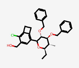 CC[C@H]1OC(c2cc(CO)c(Cl)c3c2CC3)[C@H](OCc2ccccc2)[C@@H](OCc2ccccc2)[C@@H]1C